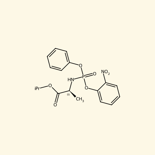 CC(C)OC(=O)[C@H](C)NP(=O)(Oc1ccccc1)Oc1ccccc1[N+](=O)[O-]